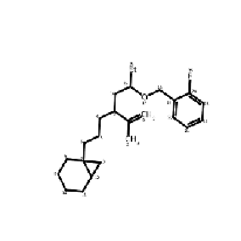 C=C(C)C(CCCC12CCCCC1C2)CC(CC)OCc1ccccc1F